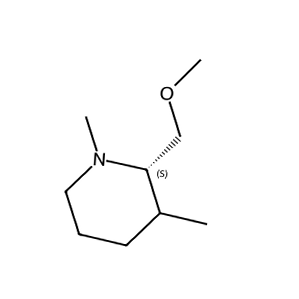 COC[C@@H]1C(C)CCCN1C